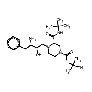 CC(C)(C)NC(=O)[C@@H]1CN(C(=O)OC(C)(C)C)CCN1C[C@@H](O)[C@@H](N)Cc1ccccc1